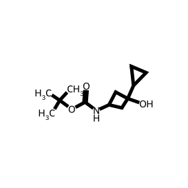 CC(C)(C)OC(=O)NC1CC(O)(C2CC2)C1